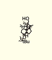 [2H]C([2H])([2H])[C@]12CCC[C@@H](O[Si](C)(C)C(C)(C)C)[C@@H]1CC[C@@H]2[C@H](C)CCO